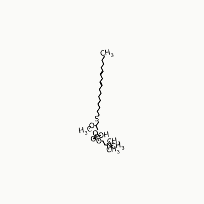 CCCCCC=CCC=CCCCCCCCCSCC(COP(=O)(O)OCC[N+](C)(C)C)OC